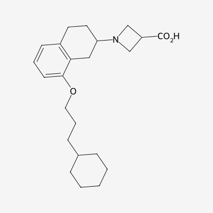 O=C(O)C1CN(C2CCc3cccc(OCCCC4CCCCC4)c3C2)C1